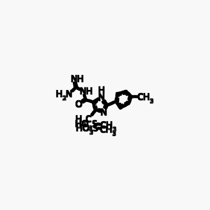 CS(=O)(=O)O.CS(=O)(=O)O.Cc1ccc(-c2nc(C)c(C(=O)NC(=N)N)[nH]2)cc1